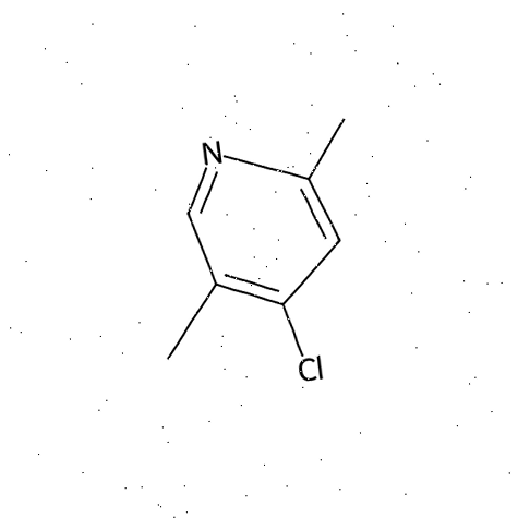 Cc1cc(Cl)c(C)cn1